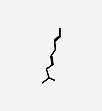 CC=CCC=CCC(C)C